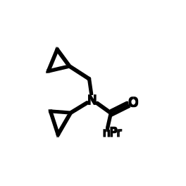 CCCC(=O)N(CC1CC1)C1CC1